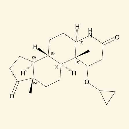 C[C@]12C(OC3CC3)CC(=O)N[C@@H]1CC[C@@H]1[C@@H]2CC[C@]2(C)C(=O)CC[C@@H]12